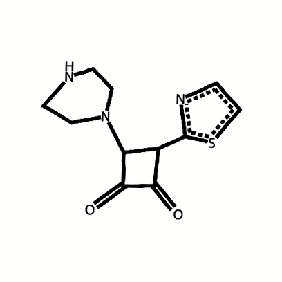 O=C1C(=O)C(N2CCNCC2)C1c1nccs1